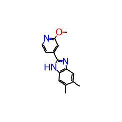 COc1cc(-c2nc3cc(C)c(C)cc3[nH]2)ccn1